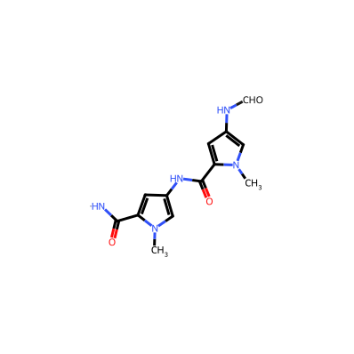 Cn1cc(NC(=O)c2cc(NC=O)cn2C)cc1C([NH])=O